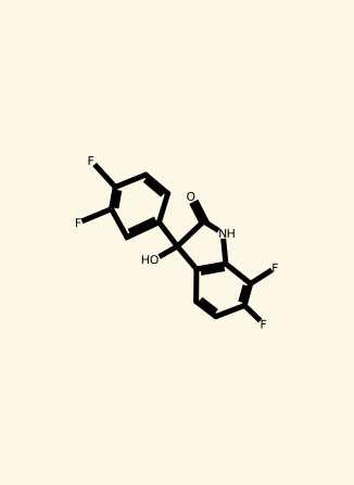 O=C1Nc2c(ccc(F)c2F)C1(O)c1ccc(F)c(F)c1